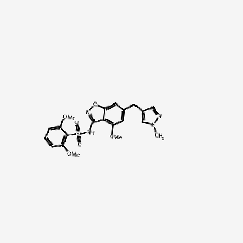 COc1cccc(OC)c1S(=O)(=O)Nc1noc2cc(Cc3cnn(C)c3)cc(OC)c12